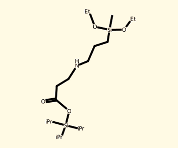 CCO[Si](C)(CCCNCCC(=O)O[Si](C(C)C)(C(C)C)C(C)C)OCC